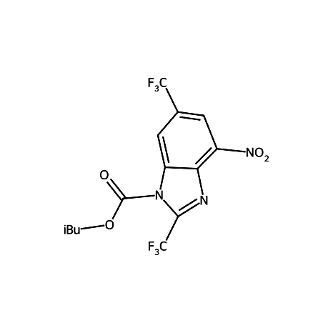 CCC(C)OC(=O)n1c(C(F)(F)F)nc2c([N+](=O)[O-])cc(C(F)(F)F)cc21